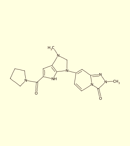 CN1CN(c2ccn3c(=O)n(C)nc3c2)c2[nH]c(C(=O)N3CCCC3)cc21